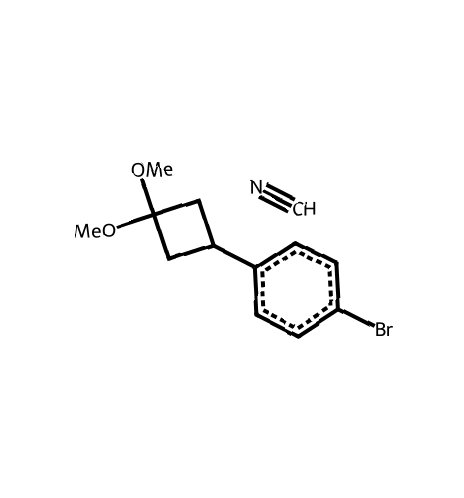 C#N.COC1(OC)CC(c2ccc(Br)cc2)C1